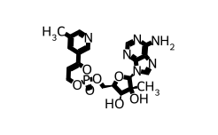 Cc1cncc(C2=CCOP(=O)(OC[C@H]3O[C@@H](n4cnc5c(N)ncnc54)[C@](C)(O)[C@@H]3O)O2)c1